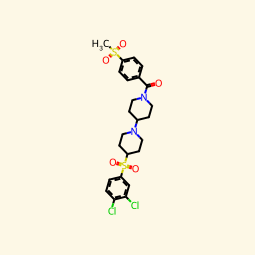 CS(=O)(=O)c1ccc(C(=O)N2CCC(N3CCC(S(=O)(=O)c4ccc(Cl)c(Cl)c4)CC3)CC2)cc1